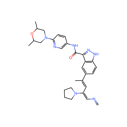 C=N/C=C(\C=C(/C)c1ccc2[nH]nc(C(=O)Nc3ccc(N4CC(C)OC(C)C4)nc3)c2c1)N1CCCC1